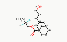 O=C(OCC(F)(F)S(=O)(=O)O)C12CCCC(CC(CCCO)C1)C2